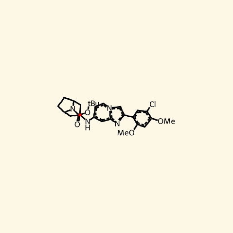 COc1cc(OC)c(-c2cn3ccc(NC4CC5CCC(C4)N5C(=O)OC(C)(C)C)cc3n2)cc1Cl